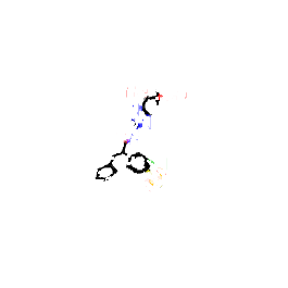 CC(C)(O)[C@H](O)c1cnc(NC(=O)C(CC2CCCC2)c2ccc(S(C)(=O)=O)c(Cl)c2)cn1